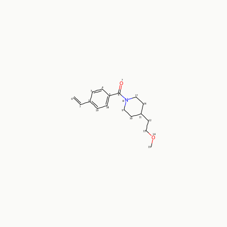 C=Cc1ccc(C(=O)N2CCC(CCOC)CC2)cc1